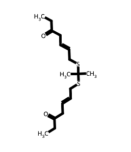 CCC(=O)CC=CCSC(C)(C)SCC=CCC(=O)CC